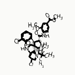 COC(=O)c1ccc(NC(=O)[C@@H]2N[C@@H](CC(C)(C)C)[C@@]3(C(=O)Nc4cc(Cl)cnc43)[C@H]2c2cccc(Cl)c2F)c(OC)c1